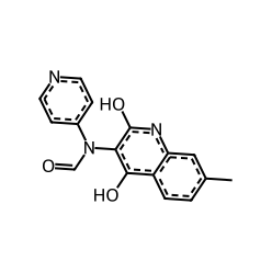 Cc1ccc2c(O)c(N(C=O)c3ccncc3)c(O)nc2c1